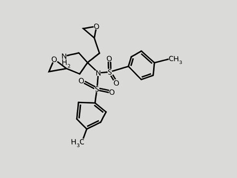 Cc1ccc(S(=O)(=O)N(C(CN)(CC2CO2)CC2CO2)S(=O)(=O)c2ccc(C)cc2)cc1